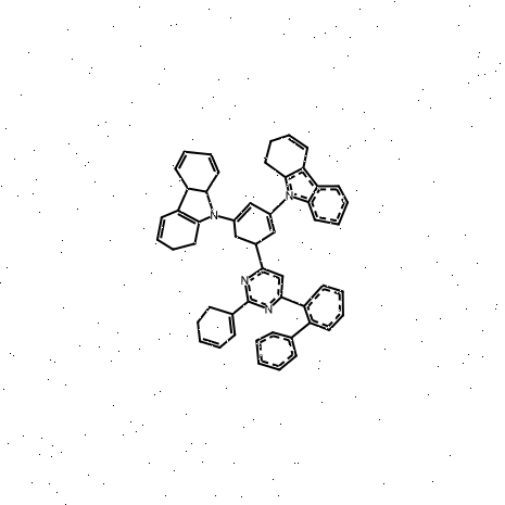 C1=CCCC(c2nc(-c3ccccc3-c3ccccc3)cc(C3C=C(n4c5c(c6ccccc64)C=CCC5)C=C(N4C5=C(C=CCC5)C5C=CC=CC54)C3)n2)=C1